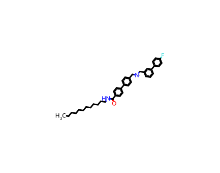 CCCCCCCCCCCCNC(=O)c1ccc(-c2ccc(C[N]Cc3cccc(-c4ccc(F)cc4)c3)cc2)cc1